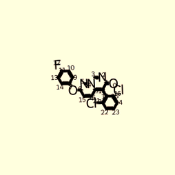 O=c1ncn2nc(Oc3ccc(F)cc3)ccc2c1-c1c(Cl)cccc1Cl